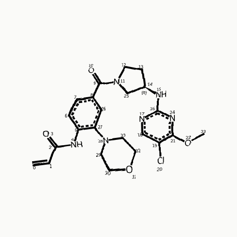 C=CC(=O)Nc1ccc(C(=O)N2CC[C@@H](Nc3ncc(Cl)c(OC)n3)C2)cc1N1CCOCC1